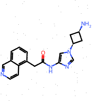 N[C@H]1C[C@@H](n2cnc(NC(=O)Cc3cccc4cnccc34)c2)C1